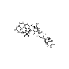 Cc1cn(CC(Cc2ccc3ccccc3c2)C(=O)OC(=O)C(F)(F)F)c(=O)nc1N1CCC(c2nc3ccccc3[nH]2)CC1